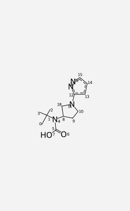 CC(C)(C)N(C(=O)O)C1CCN(c2cccnn2)C1